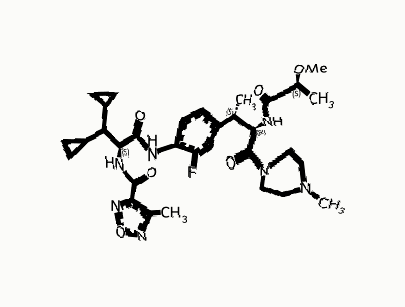 CO[C@@H](C)C(=O)N[C@@H](C(=O)N1CCN(C)CC1)[C@@H](C)c1ccc(NC(=O)[C@@H](NC(=O)c2nonc2C)C(C2CC2)C2CC2)c(F)c1